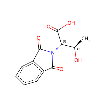 C[C@@H](O)[C@@H](C(=O)O)N1C(=O)c2ccccc2C1=O